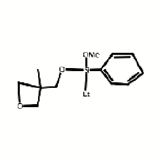 CC[Si](OC)(OCC1(C)COC1)c1ccccc1